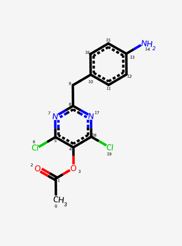 CC(=O)Oc1c(Cl)nc(Cc2ccc(N)cc2)nc1Cl